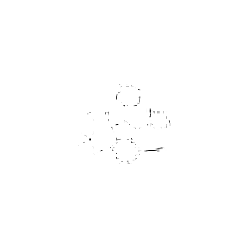 CC1(C)Oc2ccc(C#N)cc2C(Cl)(N(Cc2ncc[nH]2)c2ccccc2)C1O